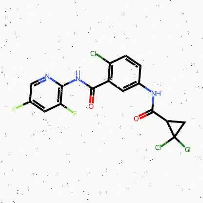 O=C(Nc1ncc(F)cc1F)c1cc(NC(=O)C2CC2(Cl)Cl)ccc1Cl